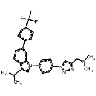 CC(C)c1cn(-c2ccc(-n3cc(CN(C)C)nn3)cc2)c2cc(-c3ccc(C(F)(F)F)cc3)ccc12